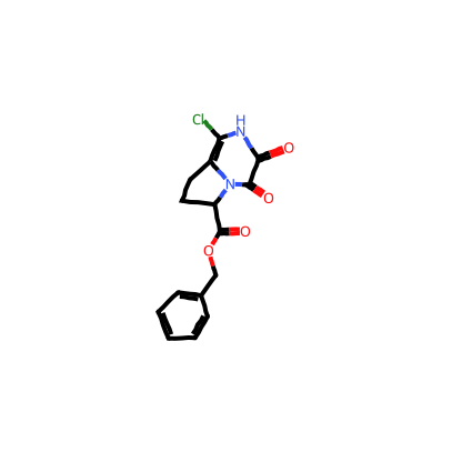 O=C(OCc1ccccc1)C1CCc2c(Cl)[nH]c(=O)c(=O)n21